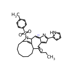 CCCCC1CCCCCCC2C=C1C(/C=C1/N=C(c3ccc[nH]3)C=C1C=O)N2S(=O)(=O)c1ccc(C)cc1